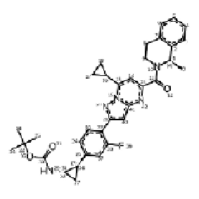 C[C@@H]1c2ccccc2CCN1C(=O)c1cc(C2CC2)n2nc(-c3ccc([C@H]4C[C@@H]4NC(=O)OC(C)(C)C)cc3F)cc2n1